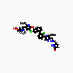 COc1nc(O[C@H]2CCc3c(-c4cccc(-c5cnc(CNC[C@@H]6CCC(=O)N6)c(OC)n5)c4Cl)cccc32)c(Cl)cc1CNC(C)(CO)C(=O)O